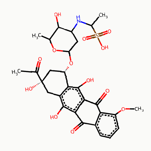 COc1cccc2c1C(=O)c1c(O)c3c(c(O)c1C2=O)C[C@@](O)(C(C)=O)C[C@@H]3OC1CC(NC(C)S(=O)(=O)O)C(O)C(C)O1